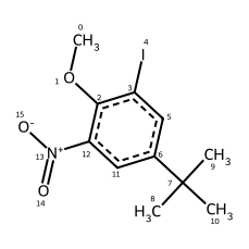 COc1c(I)cc(C(C)(C)C)cc1[N+](=O)[O-]